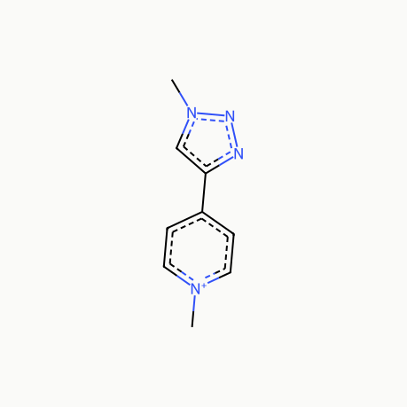 Cn1cc(-c2cc[n+](C)cc2)nn1